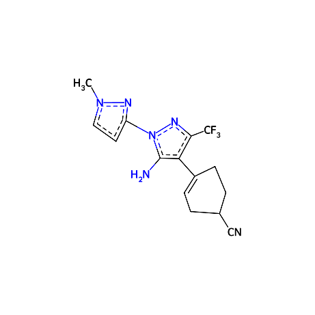 Cn1ccc(-n2nc(C(F)(F)F)c(C3=CCC(C#N)CC3)c2N)n1